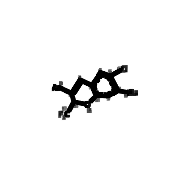 CC(=O)C1=Cc2cc(Cl)c(C(C)(C)C)cc2OC1C(F)(F)F